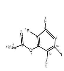 CCCCCCC(=O)Oc1c(F)c(F)cc(F)c1F